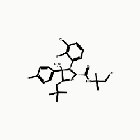 CC(C)(C)C[C@@H]1N[C@@H](C(=O)NC(C)(C)CO)[C@H](c2cccc(Cl)c2F)[C@@]1(N)c1ccc(Cl)cc1